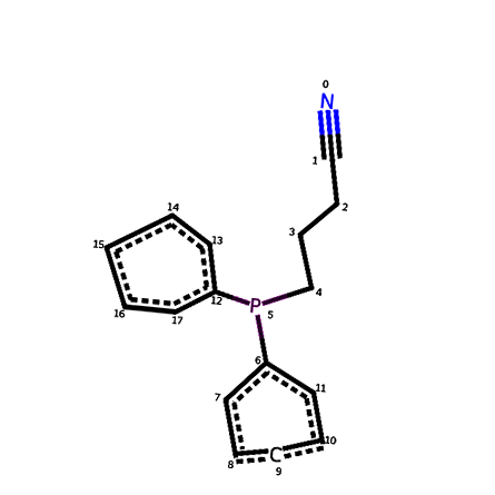 N#CCCCP(c1ccccc1)c1ccccc1